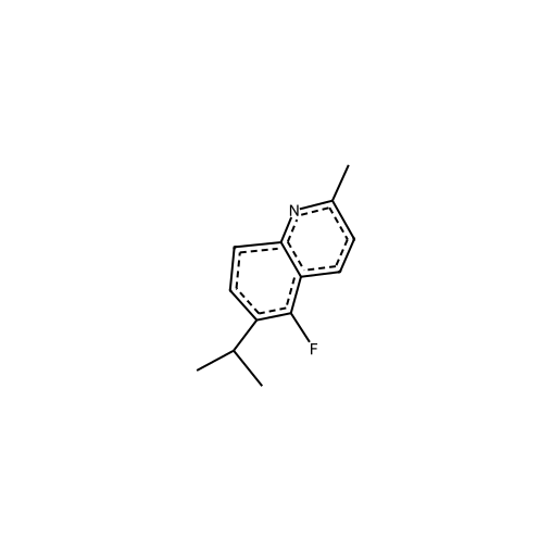 Cc1ccc2c(F)c(C(C)C)ccc2n1